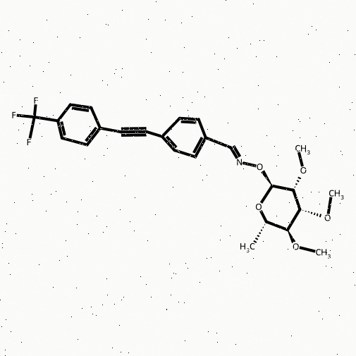 CO[C@@H]1[C@@H](OC)[C@H](C)O[C@@H](O/N=C/c2ccc(C#Cc3ccc(C(F)(F)F)cc3)cc2)[C@@H]1OC